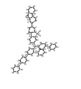 CC1(C)c2cc(-c3ccc4c(c3)oc3ccccc34)ccc2-c2ccc(C(c3ccc(-c4ccc(-c5ccccc5)cc4)cc3)c3ccc(-c4ccccc4)c4ccccc34)cc21